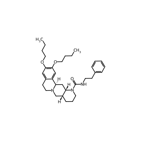 CCCCOc1cc2c(cc1OCCCC)[C@H]1C[C@H]3[C@H](CCCN3C(=O)NCCc3ccccc3)CN1CC2